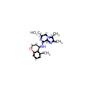 Cc1cccc2c1C(Nc1nc(C(=O)O)cn3c(C)c(C)nc13)CCO2